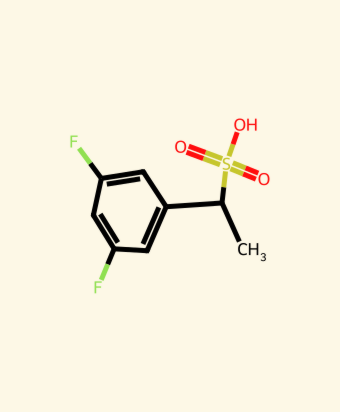 CC(c1cc(F)cc(F)c1)S(=O)(=O)O